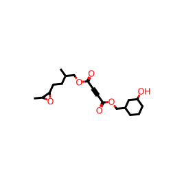 CC(CCC1OC1C)COC(=O)C#CC(=O)OCC1CCCC(O)C1